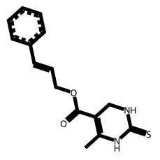 CC1=C(C(=O)OC/C=C/c2ccccc2)CNC(=S)N1